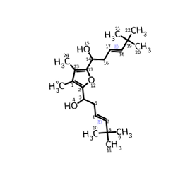 Cc1c(C(O)C/C=C/C(C)(C)C)oc(C(O)C/C=C/C(C)(C)C)c1C